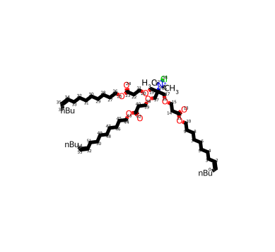 CCCC/C=C\CCCCCCCCOC(=O)CCOCC(COCCC(=O)OCCCCCCCC/C=C\CCCC)(COCCC(=O)OCCCCCCCC/C=C\CCCC)[N+](C)(C)Cl